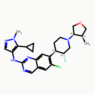 C[C@@H]1COC[C@@H]1N1CC[C@H](c2cc3nc(Nc4cnn(C)c4C4CC4)ncc3cc2Cl)[C@@H](F)C1